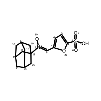 O=S(=O)(O)c1ccc(C=[N+]([O-])C23CC4CC(CC(C4)C2)C3)o1